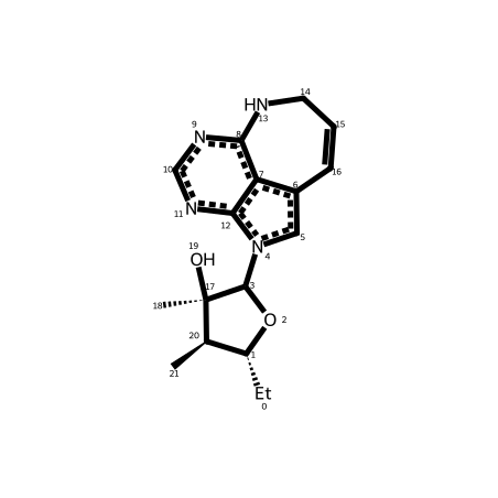 CC[C@H]1OC(n2cc3c4c(ncnc42)NCC=C3)[C@](C)(O)[C@@H]1C